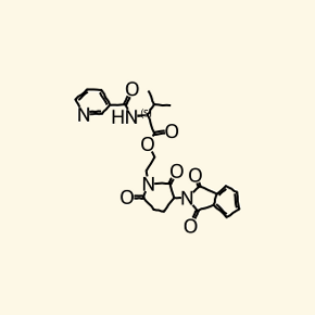 CC(C)[C@H](NC(=O)c1cccnc1)C(=O)OCCN1C(=O)CCC(N2C(=O)c3ccccc3C2=O)C1=O